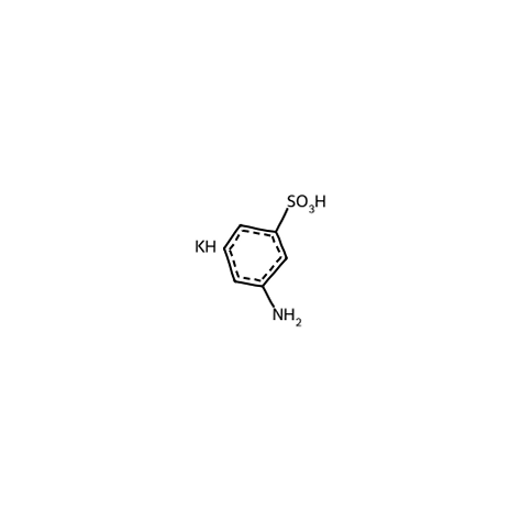 Nc1cccc(S(=O)(=O)O)c1.[KH]